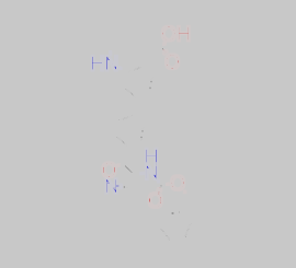 CC(OC(=O)Nc1cnoc1-c1ccc(-c2ccc3c(c2)NCCCC3C(=O)O)cc1)c1ccccc1